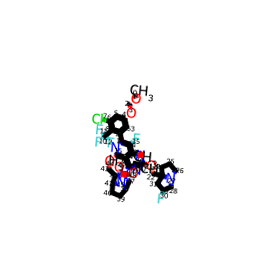 COCOc1cc(Cl)c(C(F)(F)F)c(-c2nc3c4c(nc(OCC56CCCN5CC(F)C6)nc4c2F)N2CC4CCC(C2CO3)N4C(=O)OC(C)(C)C)c1